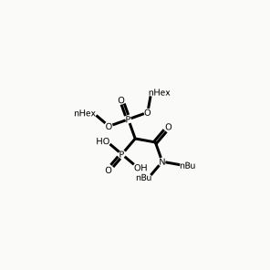 CCCCCCOP(=O)(OCCCCCC)C(C(=O)N(CCCC)CCCC)P(=O)(O)O